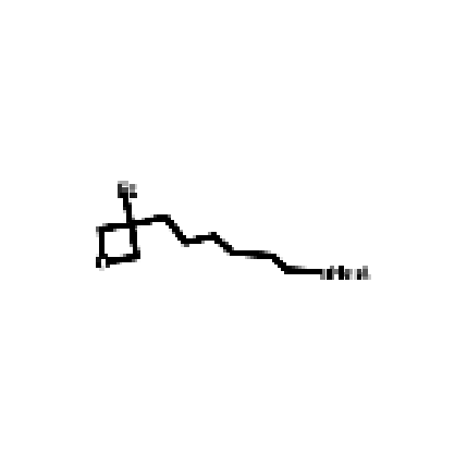 CCCCCCCCCCCCCC1(CC)COC1